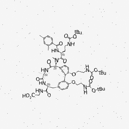 Cc1ccc(C(=O)N[C@@H](CCNC(=O)OC(C)(C)C)C(=O)N(C)[C@@H]2C(=O)N[C@@H](C)C(=O)N[C@H](C(=O)NCC(=O)O)Cc3ccc(OCCNC(=O)OC(C)(C)C)c(c3)-c3cc2ccc3OCCNC(=O)OC(C)(C)C)c(C)c1